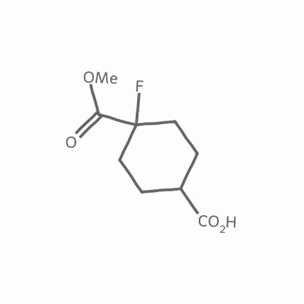 COC(=O)C1(F)CCC(C(=O)O)CC1